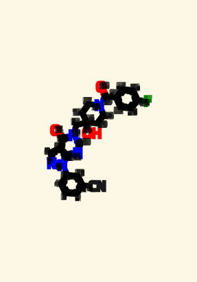 N#Cc1cccc(-n2ncc3c(=O)n(CC4(O)CCN(C(=O)c5ccc(F)cc5)CC4)cnc32)c1